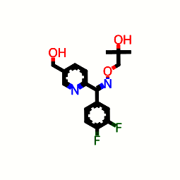 CC(C)(O)CO/N=C(/c1ccc(F)c(F)c1)c1ccc(CO)cn1